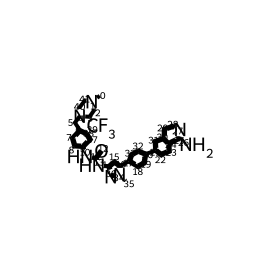 CN1CCN(Cc2ccc(NC(=O)Nc3cc(-c4ccc(-c5ccc6c(N)nccc6c5)cc4)n(C)n3)cc2C(F)(F)F)CC1